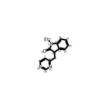 CCN1C(=O)C(Cc2ccncn2)c2ccccc21